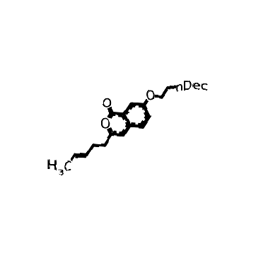 C/C=C/CCc1cc2ccc(OCCCCCCCCCCCC)cc2c(=O)o1